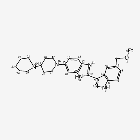 CCOCc1ccc2[nH]nc(-c3nc4ccc(N5CCC(N6CCCCC6)CC5)cc4[nH]3)c2c1